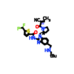 C/C=C(\C#N)C(=O)N1CCC[C@@H]1Cn1c(NC(=O)c2ccc(C(F)F)s2)nc2cc(CNCC(C)(C)C)ccc21